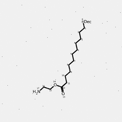 CCCCCCCCCCCCCCCCCCCCCC(=O)OCCN